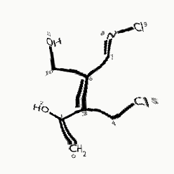 C=C(O)C(CCl)=C(C=NCl)CO